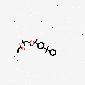 BC(C)(OCCC(C)(C)OC(=O)C=C)c1ccc(C(C)(C)c2ccccc2)cc1